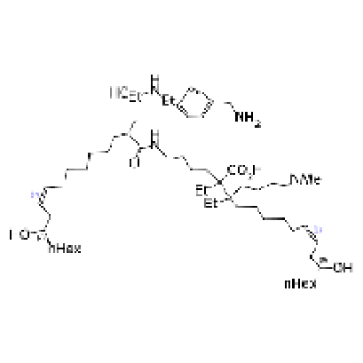 CCCCCC[C@@H](O)C/C=C\CCCCCCC(C)C(=O)NCCCCC(CC)(C(=O)O)C(CC)(CCCCC/C=C\C[C@H](O)CCCCCC)CCCCNC.CCNCC.Cl.NCc1ccccc1